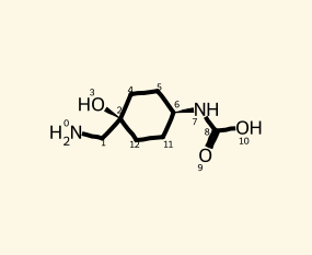 NC[C@]1(O)CC[C@@H](NC(=O)O)CC1